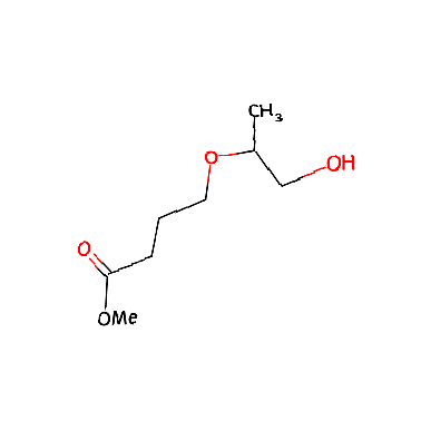 COC(=O)CCCOC(C)CO